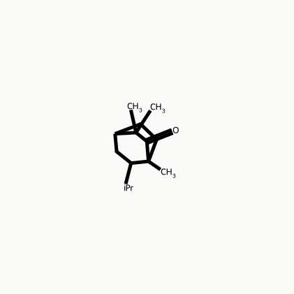 CC(C)C1CC2CCC1(C)C(=O)C2(C)C